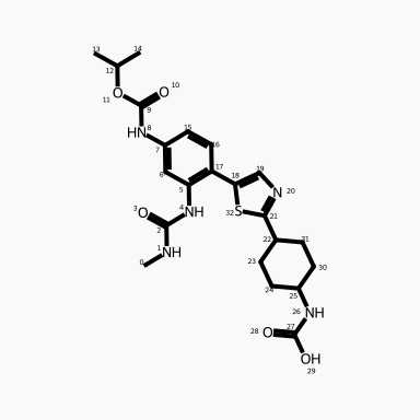 CNC(=O)Nc1cc(NC(=O)OC(C)C)ccc1-c1cnc(C2CCC(NC(=O)O)CC2)s1